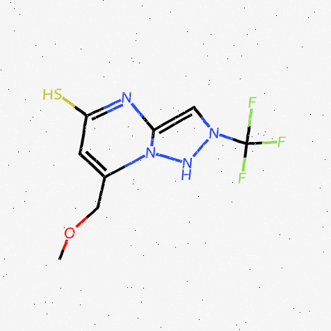 COCC1=CC(S)=NC2=CN(C(F)(F)F)NN12